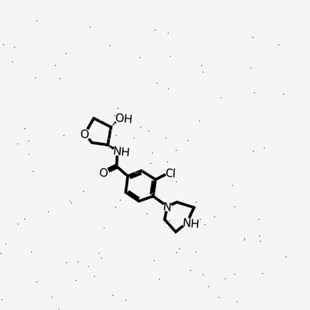 O=C(N[C@H]1COC[C@@H]1O)c1ccc(N2CCNCC2)c(Cl)c1